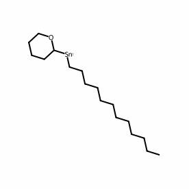 CCCCCCCCCCC[CH2][Sn][CH]1CCCCO1